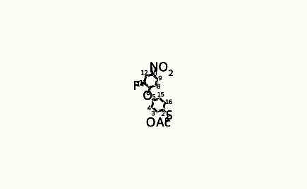 CC(=O)OSc1ccc(Oc2ccc([N+](=O)[O-])cc2F)cc1